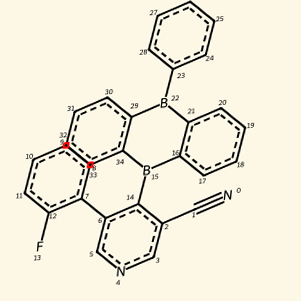 N#Cc1cncc(-c2ccccc2F)c1B1c2ccccc2B(c2ccccc2)c2ccccc21